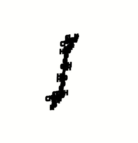 CN(C)[C@@H]1CCCN([C@H]2Cc3c(Cl)cc(Cl)cc3[C@@H]2Oc2ccc(S(=O)(=O)NCCOCCOCCNC(=O)NCCCCNC(=O)NCCOCCOCCNS(=O)(=O)c3ccc(O[C@H]4c5cc(Cl)cc(Cl)c5C[C@@H]4N4CCC[C@@H](N(C)C)C4)c(F)c3)cc2F)C1